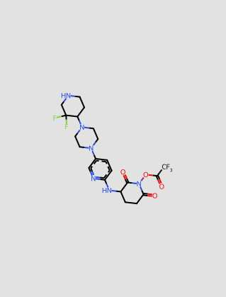 O=C1CCC(Nc2ccc(N3CCN(C4CCNCC4(F)F)CC3)cn2)C(=O)N1OC(=O)C(F)(F)F